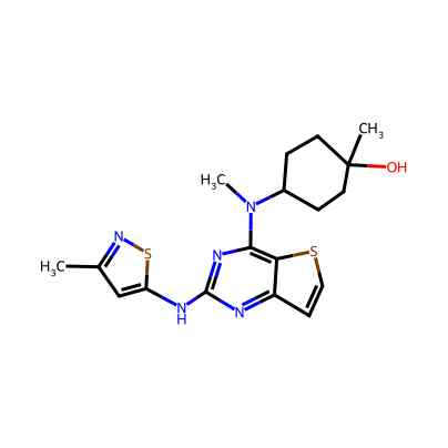 Cc1cc(Nc2nc(N(C)C3CCC(C)(O)CC3)c3sccc3n2)sn1